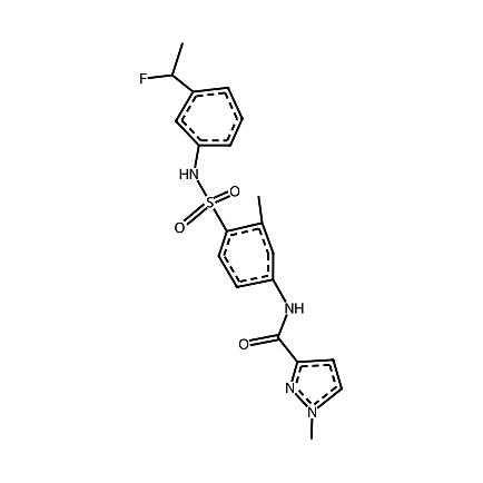 Cc1cc(NC(=O)c2ccn(C)n2)ccc1S(=O)(=O)Nc1cccc(C(C)F)c1